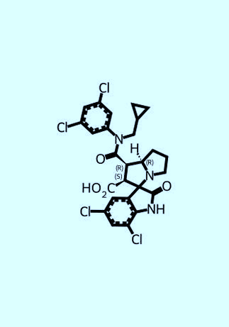 O=C(O)[C@H]1[C@@H](C(=O)N(CC2CC2)c2cc(Cl)cc(Cl)c2)[C@H]2CCCN2C12C(=O)Nc1c(Cl)cc(Cl)cc12